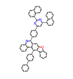 c1ccc(-c2ccc(-c3c4c(cc5c(-c6ccc(-c7cc(-c8cccc9ccccc89)nc(-c8cccc9ccccc89)n7)cc6)nc6ccccc6c35)oc3ccccc34)cc2)cc1